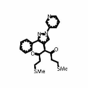 CSCCC(=O)C(C(=O)CCSC)c1cn(-c2cccnc2)nc1-c1ccccc1